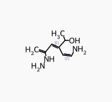 C=C(/C=C(\C=C/N)C(C)O)NN